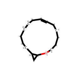 C1=C/CCCCCOC2CC2CCCCCC/1